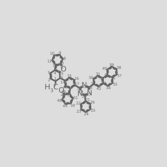 CC1C=Cc2c(oc3ccccc23)C1c1ccc(-c2nc(-c3ccccc3)nc(-c3ccc4c(ccc5ccccc54)c3)n2)c2c1oc1ccccc12